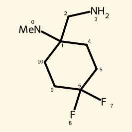 CNC1(CN)CCC(F)(F)CC1